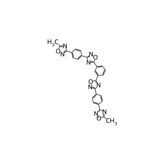 Cc1nc(-c2ccc(-c3noc(-c4cccc(-c5nc(-c6ccc(-c7noc(C)n7)cc6)no5)c4)n3)cc2)no1